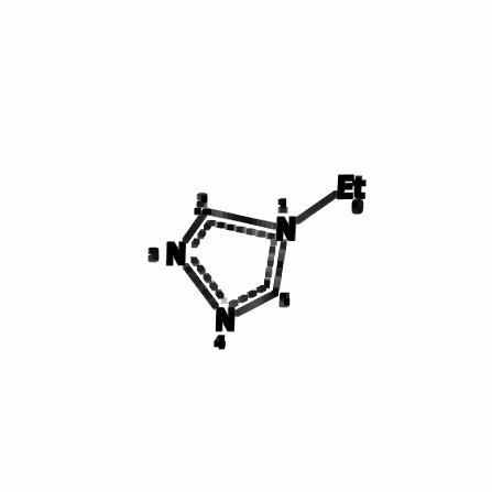 CCn1[c]nnc1